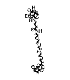 CCN1C(=O)N[C@H]2CS[C@@H](NCCCC(=O)NCCOCCOCCOCCOCCC(=O)ON3C(=O)CCC3=O)[C@H]21